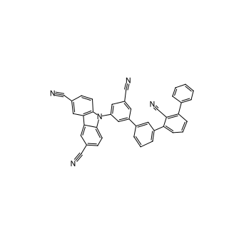 N#Cc1cc(-c2cccc(-c3cccc(-c4ccccc4)c3C#N)c2)cc(-n2c3ccc(C#N)cc3c3cc(C#N)ccc32)c1